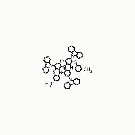 Cc1ccc2c(c1)Sc1c(-n3c4ccccc4c4ccccc43)cc3c4c1N2c1cc(-n2c5ccccc5c5ccccc52)cc2c1P4(=O)c1c(cc(-n4c5ccccc5c5ccccc54)c4c1N2c1ccc(C)cc1S4)O3